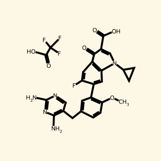 COc1ccc(Cc2cnc(N)nc2N)cc1-c1cc2c(cc1F)c(=O)c(C(=O)O)cn2C1CC1.O=C(O)C(F)(F)F